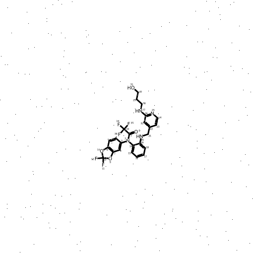 O=C(N(c1ccc2c(c1)OC(F)(F)O2)c1ccccc1NCc1ccnc(NCCCO)c1)C(F)(F)F